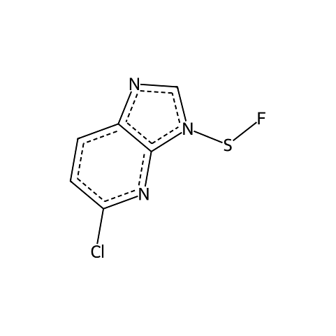 FSn1cnc2ccc(Cl)nc21